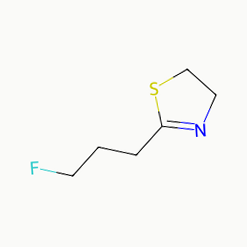 FCCCC1=NCCS1